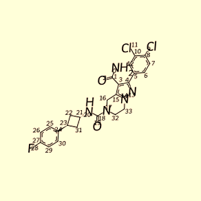 NC(=O)c1c(-c2ccc(Cl)c(Cl)c2)nn2c1CN(C(=O)N[C@H]1C[C@H](c3ccc(F)cc3)C1)CC2